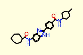 CC1CCC(NC(=O)c2ccc(-c3nc4cc(NC(=O)C5CCCCCC5)ccc4[nH]3)cc2)CC1